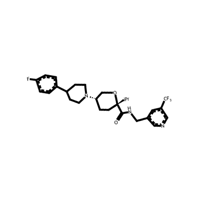 CC(C)[C@@]1(C(=O)NCc2cncc(C(F)(F)F)c2)CC[C@H](N2CCC(c3ccc(F)cc3)CC2)CO1